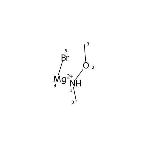 CNOC.[Mg+2][Br]